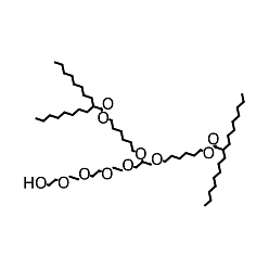 CCCCCCCCC(CCCCCCCC)C(=O)OCCCCCCOCC(COCCOCCOCCOCCO)OCCCCCCOC(=O)C(CCCCCCCC)CCCCCCCC